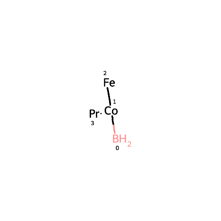 [BH2][Co][Fe].[Pr]